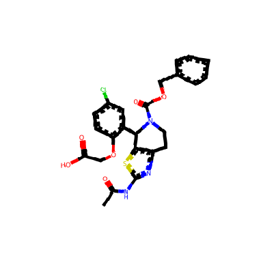 CC(=O)Nc1nc2c(s1)C(c1cc(Cl)ccc1OCC(=O)O)N(C(=O)OCc1ccccc1)CC2